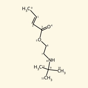 C/C=C/C(=O)OCCNC(C)(C)C